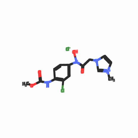 COC(=O)Nc1ccc(N(O)C(=O)Cn2cc[n+](C)c2)cc1Cl.[Cl-]